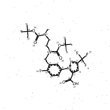 CN(CCN(Cc1cc(-n2nc(C(F)(F)F)cc2C(=O)O)ccc1F)C(=O)OC(C)(C)C)C(=O)OC(C)(C)C